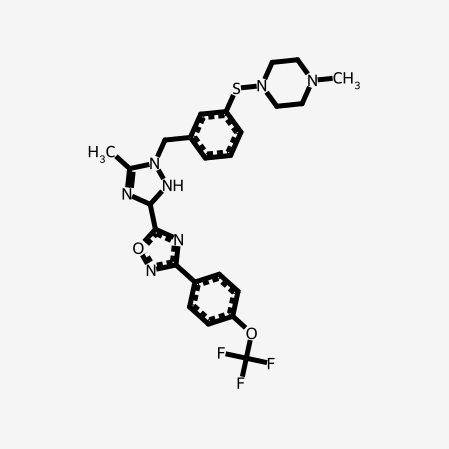 CC1=NC(c2nc(-c3ccc(OC(F)(F)F)cc3)no2)NN1Cc1cccc(SN2CCN(C)CC2)c1